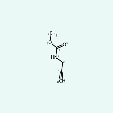 C#CCNC(=O)OC